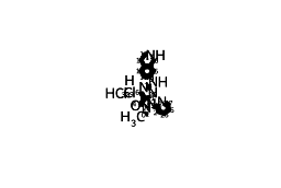 CCn1c(=O)c2cnc(Nc3ccc4c(c3)CNCC4)nc2n1-c1ccccn1.Cl.Cl